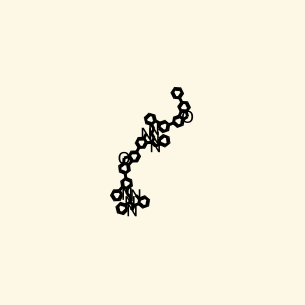 c1ccc(-c2ccc3oc4ccc(-c5ccc6c(c5)c5ccccc5n6-c5nc6ccc(-c7ccc8c(c7)oc7ccc(-c9ccc%10c(c9)c9ccccc9n%10-c9nc%10ccccc%10c%10nc%11ccccc%11n9%10)cc78)cc6c6nc7ccccc7n56)cc4c3c2)cc1